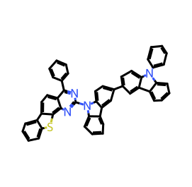 c1ccc(-c2nc(-n3c4ccccc4c4cc(-c5ccc6c(c5)c5ccccc5n6-c5ccccc5)ccc43)nc3c2ccc2c4ccccc4sc23)cc1